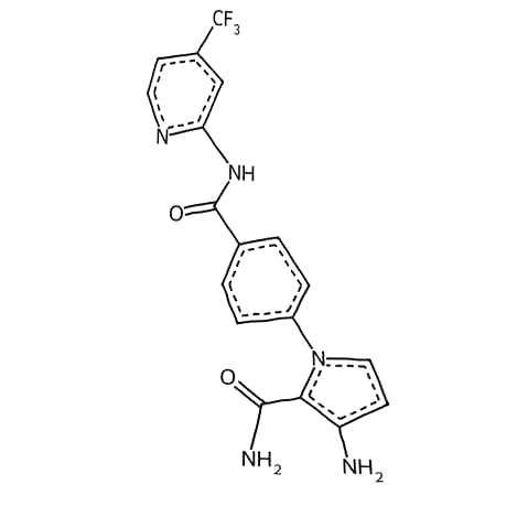 NC(=O)c1c(N)ccn1-c1ccc(C(=O)Nc2cc(C(F)(F)F)ccn2)cc1